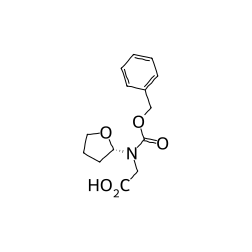 O=C(O)CN(C(=O)OCc1ccccc1)[C@@H]1CCCO1